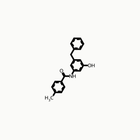 Cc1ccc(C(=O)Nc2cc(O)cc(Cc3ccccc3)c2)cc1